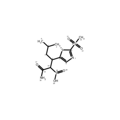 CC(C)CC(c1cnc(S(C)(=O)=O)s1)C(C(N)=O)S(=O)O